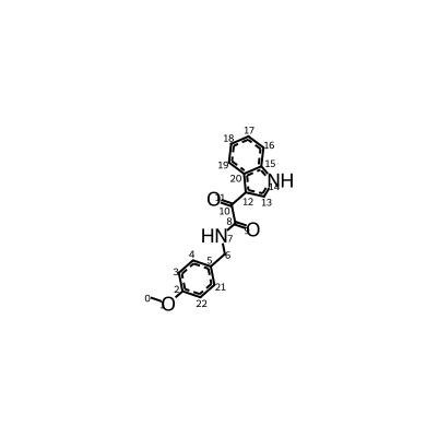 COc1ccc(CNC(=O)C(=O)c2c[nH]c3ccccc23)cc1